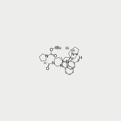 Cc1nc2ccccc2n1[C@H]1C[C@H]2CC[C@@H](C1)N2CCC1(c2cccc(F)c2)CCN(C(=O)[C@@H]2CCCN2C(=O)OC(C)(C)C)CC1